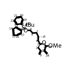 C=CC[C@@H](C[C@@H](C)CCCO[Si](c1ccccc1)(c1ccccc1)C(C)(C)C)OC(C=C)OC